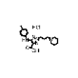 Cc1ccc(Nc2nn(CCCN3CCCCC3)nc2C(=O)O)cc1.Cl